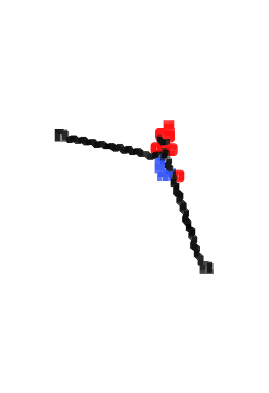 CCC=CCC=CCC=CCC=CCC=CCC=CCCC(=O)NCCC[C@H](NC(=O)CCC=CCC=CCC=CCC=CCC=CCC=CCC)C(=O)OC(CO)CO